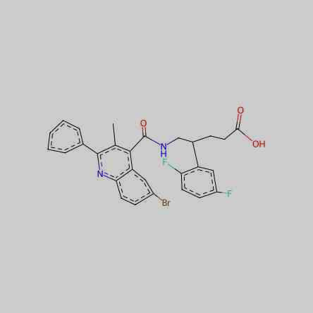 Cc1c(-c2ccccc2)nc2ccc(Br)cc2c1C(=O)NCC(CCC(=O)O)c1cc(F)ccc1F